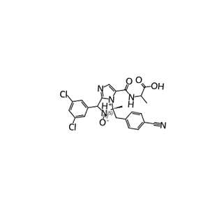 CC(NC(=O)c1cnc2n1[C@](C)(Cc1ccc(C#N)cc1)[N@H+]([O-])C2c1cc(Cl)cc(Cl)c1)C(=O)O